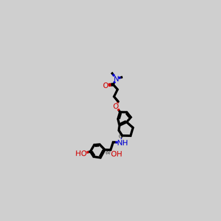 CN(C)C(=O)CCCOc1ccc2c(c1)C[C@@H](NC[C@@H](O)c1ccc(O)cc1)CC2